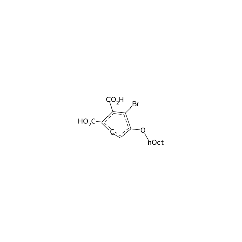 CCCCCCCCOc1ccc(C(=O)O)c(C(=O)O)c1Br